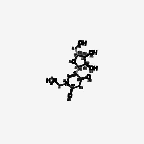 NCN1C=C([C@@H]2O[C@H](CO)[C@@H](O)[C@H]2O)C(=O)CC1=O